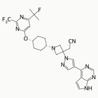 CC(C)(F)c1cc(O[C@H]2CC[C@@H](N3CC(CC#N)(n4cc(-c5ncnc6[nH]ccc56)cn4)C3)CC2)nc(C(F)(F)F)n1